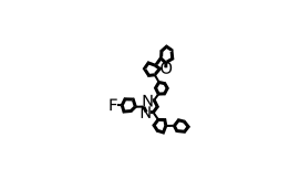 Fc1ccc(-c2nc(-c3cccc(-c4ccccc4)c3)cc(-c3cccc(-c4cccc5c4oc4ccccc45)c3)n2)cc1